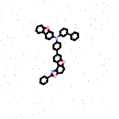 c1ccc(-c2cccc(N(c3ccc(-c4ccc5c(c4)oc4ccc6oc(-c7ccccc7)nc6c45)cc3)c3ccc4c(c3)oc3ccccc34)c2)cc1